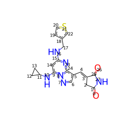 O=C1C/C(=C\c2cnn3c(NC4CC4)cc(NCc4ccsc4)nc23)C(=O)N1